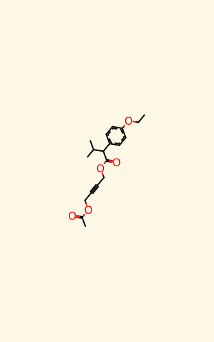 CCOc1ccc(C(C(=O)OCC#CCOC(C)=O)C(C)C)cc1